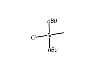 CCCC[Si](C)(Cl)CCCC